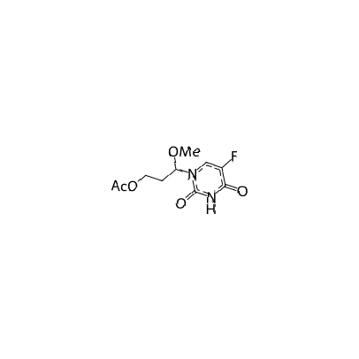 COC(CCOC(C)=O)n1cc(F)c(=O)[nH]c1=O